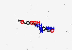 O=c1ccc(-c2ccc3c(c2)ncn3CCNCC(O)COc2ccc(CCOCC3CC3)cc2)n[nH]1